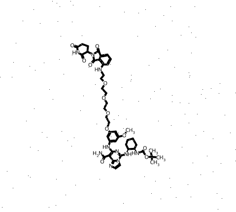 COc1cc(Nc2nc(N[C@H]3CCCC[C@H]3NC(=O)OC(C)(C)C)n3ccnc3c2C(N)=O)cc(OCCOCCOCCOCCNc2cccc3c2C(=O)N(C2CCC(=O)NC2=O)C3=O)c1